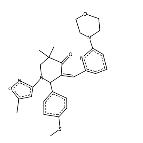 CSc1ccc(C2C(=Cc3cccc(N4CCOCC4)n3)C(=O)C(C)(C)CN2c2cc(C)on2)cc1